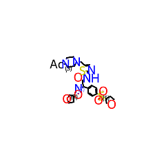 CC(=O)N1CCN(Cc2cnc(NC(=O)/C(=N/O[C@@H]3CCOC3)c3ccc(S(=O)(=O)[C@H]4CCOC4)cc3)s2)C[C@@H]1C